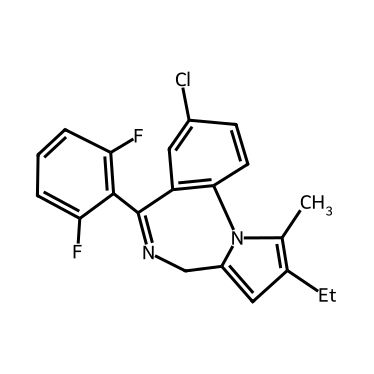 CCc1cc2n(c1C)-c1ccc(Cl)cc1C(c1c(F)cccc1F)=NC2